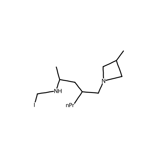 CCCC(CC(C)NCI)CN1CC(C)C1